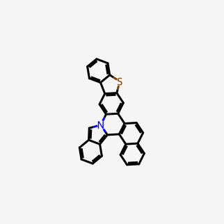 c1ccc2c(c1)ccc1c3cc4sc5ccccc5c4cc3n3cc4ccccc4c3c21